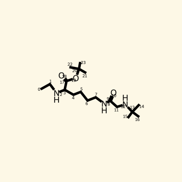 CCNC(CCCCNC(=O)CNC(C)(C)C)C(=O)OC(C)(C)C